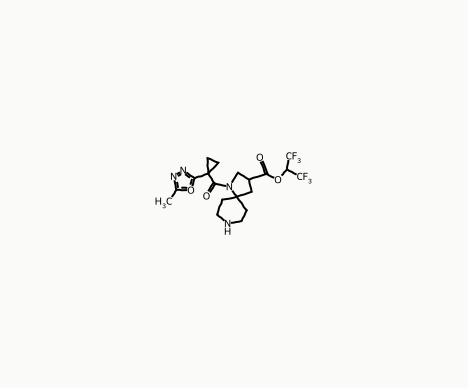 Cc1nnc(C2(C(=O)N3CC(C(=O)OC(C(F)(F)F)C(F)(F)F)CC34CCNCC4)CC2)o1